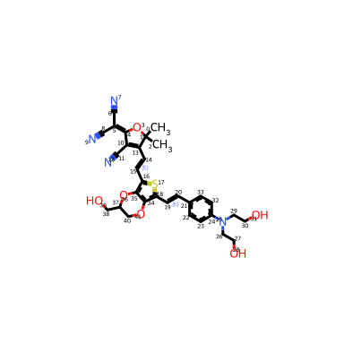 CC1(C)OC(=C(C#N)C#N)C(C#N)=C1/C=C/c1sc(/C=C/c2ccc(N(CCO)CCO)cc2)c2c1OC(CO)CO2